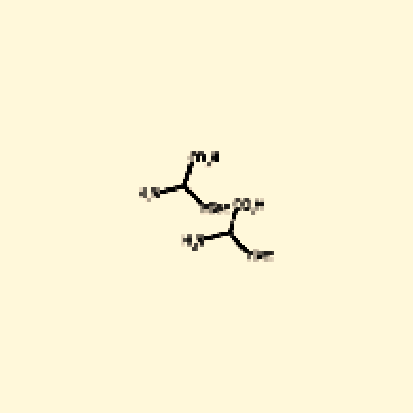 CCCCCCCCCCC(N)C(=O)O.CCCCCCCCCCC(N)C(=O)O